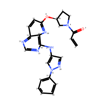 C=CC(=O)N1CC[C@H](Oc2ccc3ncnc(Nc4cnn(-c5ccccc5)c4)c3n2)C1